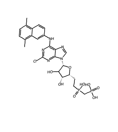 Cc1ccc(C)c2cc(Nc3nc(Cl)nc4c3ncn4[C@@H]3O[C@H](CCP(=O)(O)CP(=O)(O)O)[C@H](O)C3O)ccc12